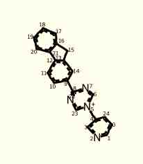 c1cncc(-[n+]2cnc(-c3ccc4c(c3)Cc3ccccc3-4)nc2)c1